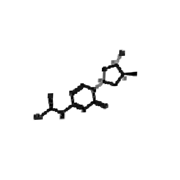 CC[C@H]1O[C@@H](n2cnc(NC(=O)C(C)(C)C)nc2=O)C[C@@H]1C